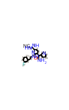 N#CNC(=N)c1ccc(C(C(N)=O)c2cccnc2)c(NCCc2cccc(F)c2)n1